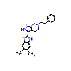 Cc1cc2nc(-c3[nH]nc4c3CCN(CCc3ccccc3)C4)[nH]c2cc1C